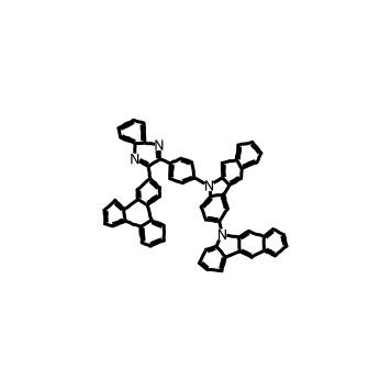 c1ccc2cc3c(cc2c1)c1ccccc1n3-c1ccc2c(c1)c1cc3ccccc3cc1n2-c1ccc(-c2nc3ccccc3nc2-c2ccc3c4ccccc4c4ccccc4c3c2)cc1